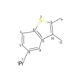 Cc1sc2ccc(C(C)C)cc2c1C